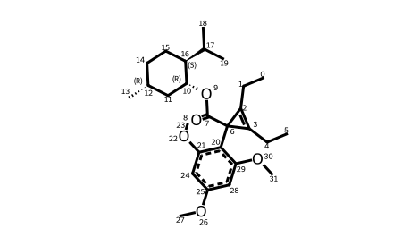 CCC1=C(CC)C1(C(=O)O[C@@H]1C[C@H](C)CC[C@H]1C(C)C)c1c(OC)cc(OC)cc1OC